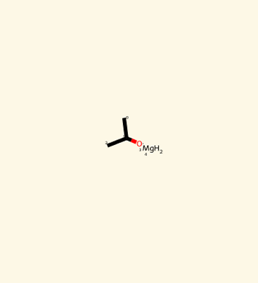 CC(C)[O].[MgH2]